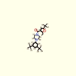 Cc1oc(C(C)(C)C)cc1C(=O)N1CCN(c2cc(C(C)(C)C)cc(C(C)(C)C)c2)CC1